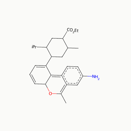 CCOC(=O)C1CC(C(C)C)C(C2=CC=CC3OC(C)=c4cc(N)ccc4=C23)CC1C